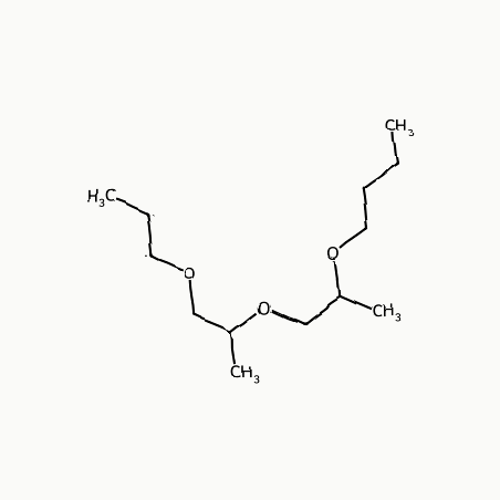 C[CH][CH]OCC(C)OCC(C)OCCCC